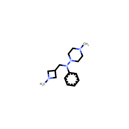 CN1CCN(N(CC2CN(C)C2)c2cc[c]cc2)CC1